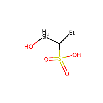 CCC([SiH2]O)S(=O)(=O)O